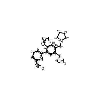 CCc1cc(-c2cccc(N)n2)c(OC)cc1CN1CCCC1